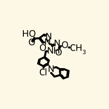 CCOC(=O)/N=C(\NC(=O)c1ccc(Cl)c(N2CCc3ccccc3C2)c1)n1cc(C(=O)O)cn1